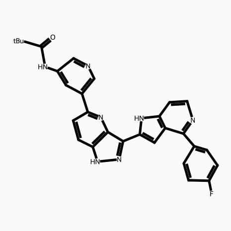 CC(C)(C)C(=O)Nc1cncc(-c2ccc3[nH]nc(-c4cc5c(-c6ccc(F)cc6)nccc5[nH]4)c3n2)c1